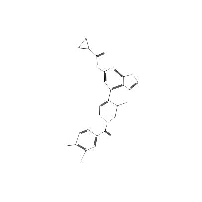 CC1CN(C(=O)c2ccc(Cl)c(Cl)c2)CC=C1c1cc(NC(=O)C2CC2)nc2[nH]ccc12